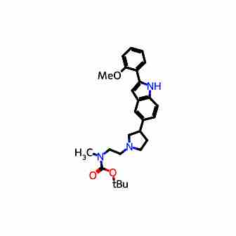 COc1ccccc1-c1cc2cc(C3CCN(CCN(C)C(=O)OC(C)(C)C)C3)ccc2[nH]1